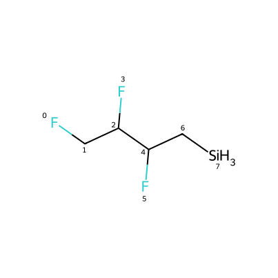 FCC(F)C(F)C[SiH3]